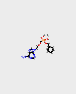 COP(=O)(COCCn1cnc2c(N)ncnc21)OCc1ccccc1